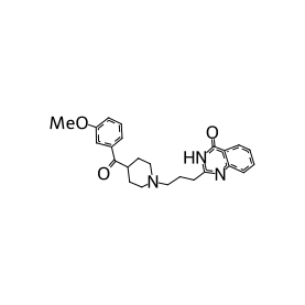 COc1cccc(C(=O)C2CCN(CCCc3nc4ccccc4c(=O)[nH]3)CC2)c1